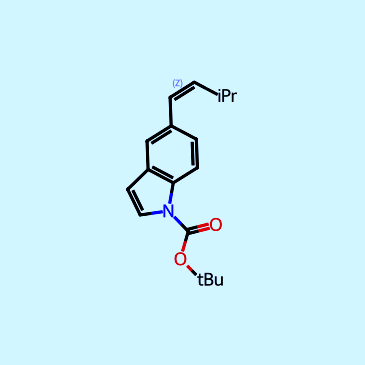 CC(C)/C=C\c1ccc2c(ccn2C(=O)OC(C)(C)C)c1